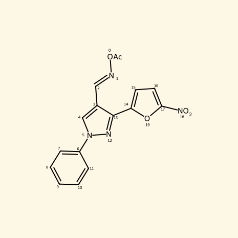 CC(=O)ON=Cc1cn(-c2ccccc2)nc1-c1ccc([N+](=O)[O-])o1